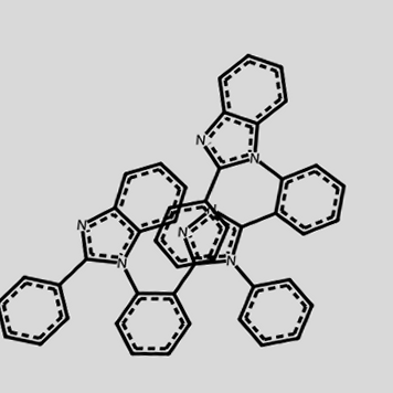 c1ccc(-c2nc3ccccc3n2-c2ccccc2-c2nnc(-c3ccccc3-n3c(-c4ccccc4)nc4ccccc43)n2-c2ccccc2)cc1